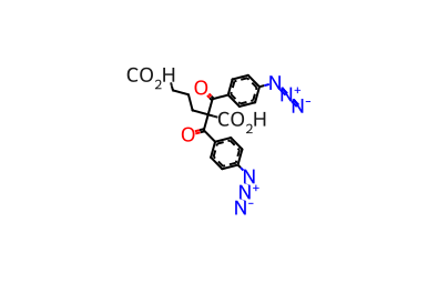 [N-]=[N+]=Nc1ccc(C(=O)C(CCCC(=O)O)(C(=O)O)C(=O)c2ccc(N=[N+]=[N-])cc2)cc1